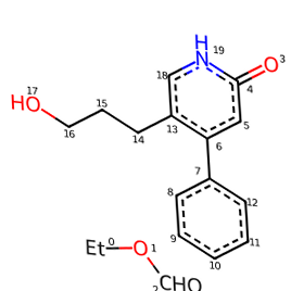 CCOC=O.O=c1cc(-c2ccccc2)c(CCCO)c[nH]1